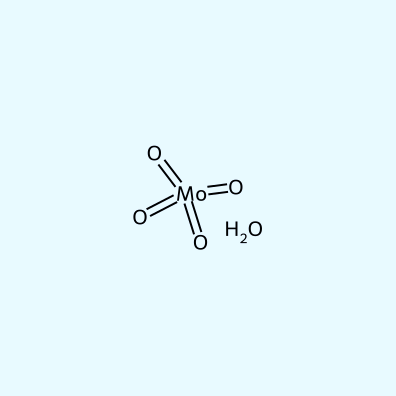 O.[O]=[Mo](=[O])(=[O])=[O]